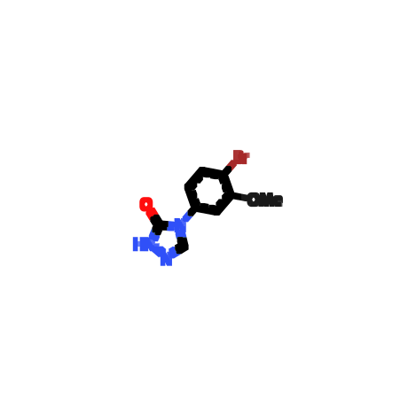 COc1cc(-n2cn[nH]c2=O)ccc1Br